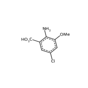 COc1cc(Cl)cc(C(=O)O)c1N